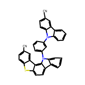 N#Cc1ccc2sc3ccc4c5ccccc5n(-c5cccc(-n6c7ccccc7c7cc(C#N)ccc76)c5)c4c3c2c1